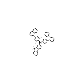 Cc1cc(-c2cccc3ccccc23)cc(C)c1N(c1ccc(-c2ccccc2-c2ccccc2)cc1)c1ccc2c(c1)C(C)(C)c1ccccc1-2